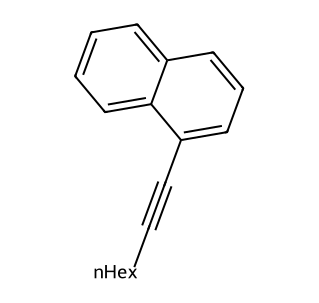 CCCCCCC#Cc1cccc2ccccc12